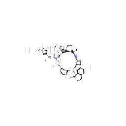 COc1nn(C)cc1C(=O)/N=C/S1(=O)=NC(=O)c2ccc3c(c2)N(C[C@@H]2CC[C@H]2/C=C/[C@@H]2OCCO[C@@H]2[C@H](C)C1)C[C@@]1(CCCc2cc(Cl)ccc21)CO3